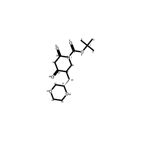 CC(C)(C)OC(=O)N1CC(C[C@H]2COCCO2)C(=O)CC1=O